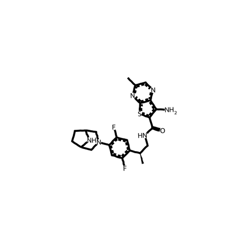 Cc1cnc2c(N)c(C(=O)NC[C@@H](C)c3cc(F)c(N4CC5CCC(C4)N5)cc3F)sc2n1